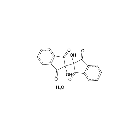 O.O=C1c2ccccc2C(=O)C1(O)C1(O)C(=O)c2ccccc2C1=O